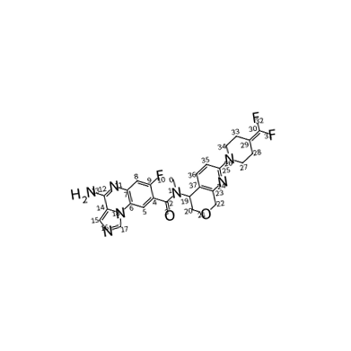 CN(C(=O)c1cc2c(cc1F)nc(N)c1cncn12)C1COCc2nc(N3CCC(=C(F)F)CC3)ccc21